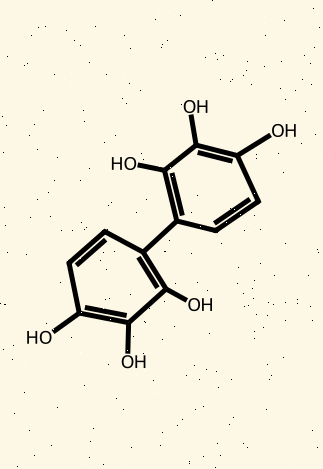 Oc1ccc(-c2ccc(O)c(O)c2O)c(O)c1O